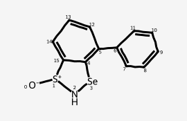 [O-][S+]1N[Se]c2c(-c3ccccc3)cccc21